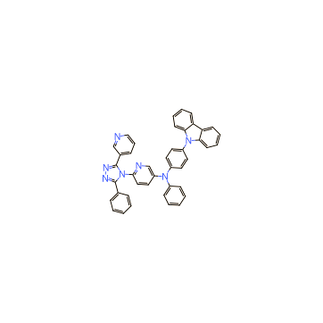 c1ccc(-c2nnc(-c3cccnc3)n2-c2ccc(N(c3ccccc3)c3ccc(-n4c5ccccc5c5ccccc54)cc3)cn2)cc1